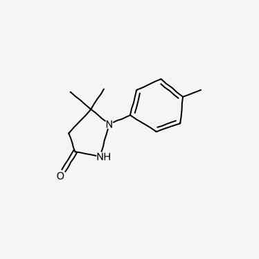 Cc1ccc(N2NC(=O)CC2(C)C)cc1